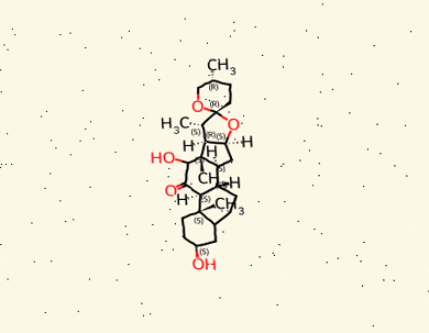 C[C@@H]1CC[C@@]2(OC1)O[C@H]1C[C@H]3[C@@H]4CCC5C[C@@H](O)CC[C@]5(C)[C@H]4C(=O)C(O)[C@]3(C)[C@H]1[C@@H]2C